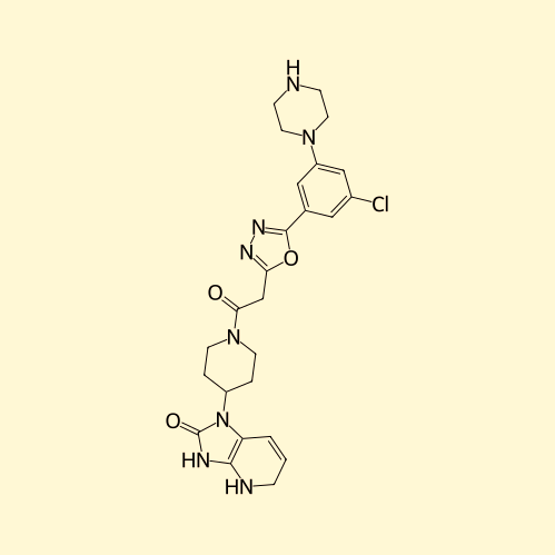 O=C(Cc1nnc(-c2cc(Cl)cc(N3CCNCC3)c2)o1)N1CCC(n2c3c([nH]c2=O)NCC=C3)CC1